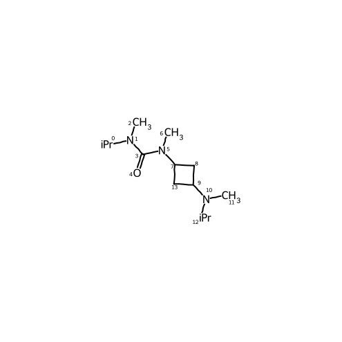 CC(C)N(C)C(=O)N(C)C1CC(N(C)C(C)C)C1